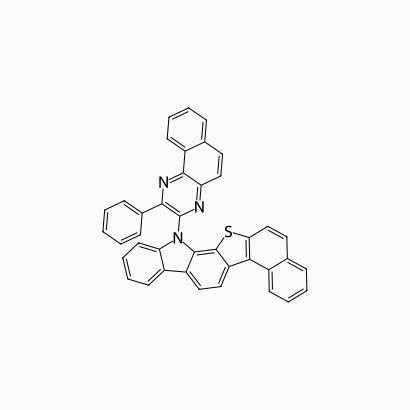 c1ccc(-c2nc3c(ccc4ccccc43)nc2-n2c3ccccc3c3ccc4c(sc5ccc6ccccc6c54)c32)cc1